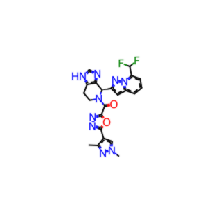 Cc1nn(C)cc1-c1nnc(C(=O)N2CCc3[nH]cnc3[C@H]2c2cc3cccc(C(F)F)n3n2)o1